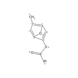 Cc1cc2oc1cc2OC(=O)C(C)C